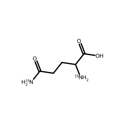 [15NH2]C(=O)CCC([15NH2])C(=O)O